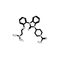 CN(C)CCOc1ccccc1-n1c(=O)n(C2CCN(C(N)=O)CC2)c2ccccc21